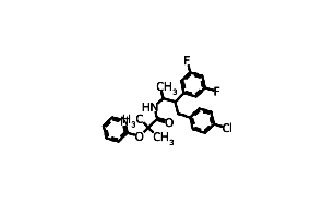 CC(NC(=O)C(C)(C)Oc1ccccn1)C(Cc1ccc(Cl)cc1)c1cc(F)cc(F)c1